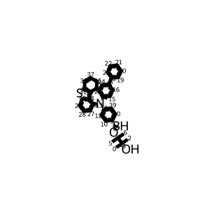 CC(C)(O)C(C)(C)OBc1ccc(N(c2ccc(-c3ccccc3)cc2)c2cccc3sc4c(c23)CCC=C4)cc1